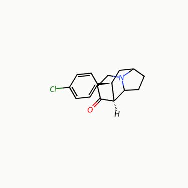 O=C1CCN2C3CCC2[C@@H]1[C@@H](c1ccc(Cl)cc1)C3